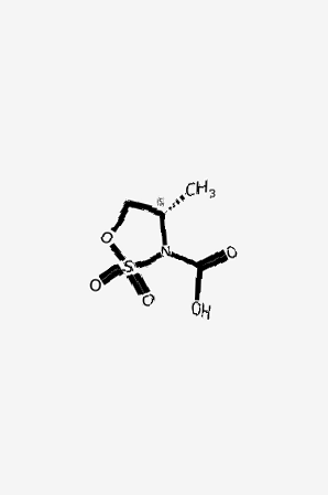 C[C@H]1COS(=O)(=O)N1C(=O)O